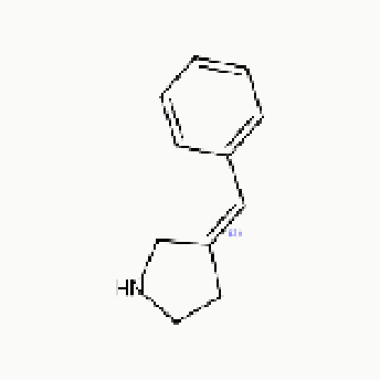 C(=C1\CCNC1)/c1ccccc1